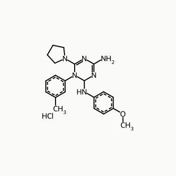 COc1ccc(NC2N=C(N)N=C(N3CCCC3)N2c2cccc(C)c2)cc1.Cl